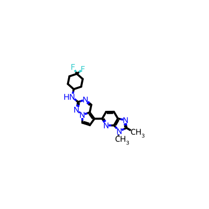 Cc1nc2ccc(-c3ccn4nc(NC5CCC(F)(F)CC5)ncc34)nc2n1C